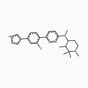 CC1C(N(C)c2ccc(-c3ccc(-c4cn[nH]c4)cc3Cl)nn2)CCN(C)C1(C)C